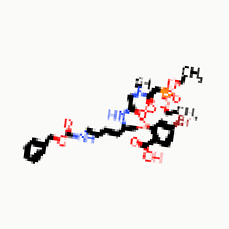 CCOP(=O)(CC(=O)N(C)CC(=O)NC(CCCCNC(=O)OCc1ccccc1)COc1cc(Br)ccc1C(=O)O)OCC